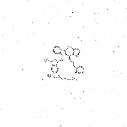 CC1=C[CH]([Zr][CH]2C(C(=CC=Cc3ccccc3)c3ccccc3)=C(C)c3ccccc32)c2ccccc21.CCCCOC[SiH3]